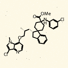 COC(=O)C1(Nc2cccc(Cl)c2)CCC2(CC1)c1ccccc1C[C@@H]2C[C@@H](C)COc1ccnc2c(Cl)cn(C)c12